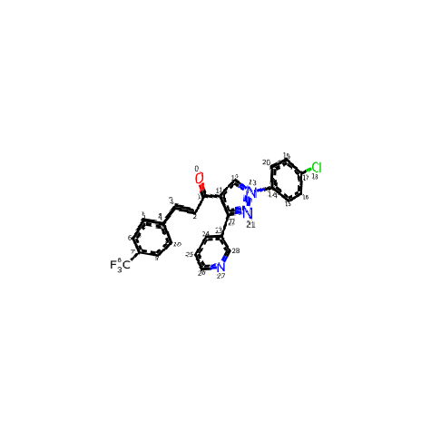 O=C(C=Cc1ccc(C(F)(F)F)cc1)c1cn(-c2ccc(Cl)cc2)nc1-c1cccnc1